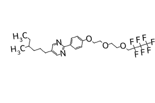 CCC(C)CCCc1cnc(-c2ccc(OCCOCCOCC(F)(F)C(F)(F)C(F)(F)F)cc2)nc1